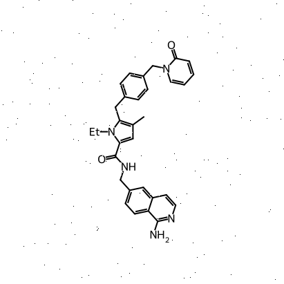 CCn1c(C(=O)NCc2ccc3c(N)nccc3c2)cc(C)c1Cc1ccc(Cn2ccccc2=O)cc1